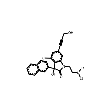 CCN(CC)CCN1C(=O)C(O)(c2ccc3ccccc3c2)c2c(Cl)cc(C#CCO)cc21